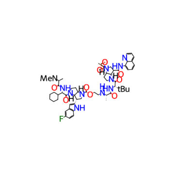 CN[C@@H](C)C(=O)N[C@H](C(=O)N1CC[C@@H]2[C@H]1[C@@H](c1cc3cc(F)ccc3[nH]1)CN2C(=O)OCCN[C@@H](C)C(=O)N[C@H](C(=O)N1CC[C@@H]2[C@H]1C(C(=O)Nc1cccc3cccnc13)CN2S(C)(=O)=O)C(C)(C)C)C1CCCCC1